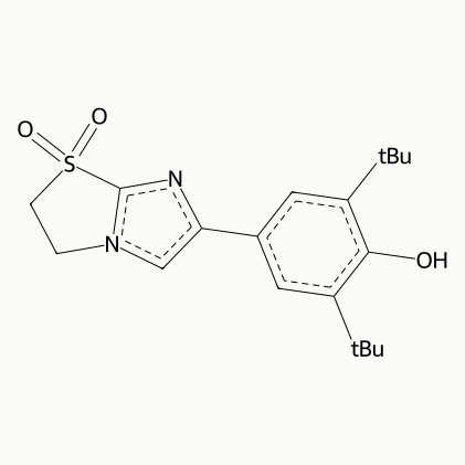 CC(C)(C)c1cc(-c2cn3c(n2)S(=O)(=O)CC3)cc(C(C)(C)C)c1O